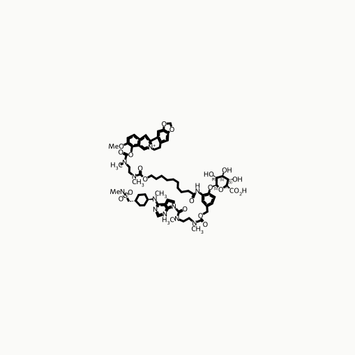 CNS(=O)(=O)C[C@H]1CC[C@H](N(C)c2ncnc3c2ccn3C(=O)N(C)CCN(C)C(=O)OCc2ccc(O[C@@H]3O[C@H](C(=O)O)[C@@H](O)[C@H](O)[C@H]3O)c(NC(=O)CCCCCCCCCOC(=O)N(C)CCN(C)C(=O)Oc3c(OC)ccc4cc5[n+](cc34)CCc3cc4c(cc3-5)OCO4)c2)CC1